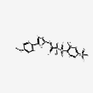 COc1ccc(-c2nnc(NC(=O)C(C)(C)S(=O)(=O)c3ccc(S(C)(=O)=O)cc3F)[nH]2)cc1